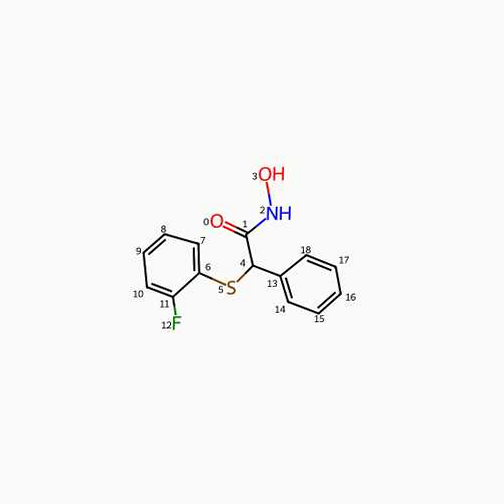 O=C(NO)C(Sc1ccccc1F)c1ccccc1